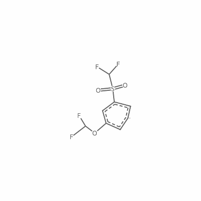 O=S(=O)(c1c[c]cc(OC(F)F)c1)C(F)F